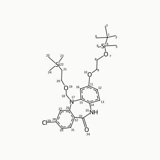 CC(C)(C)[Si](C)(C)OCCOc1ccc2c(c1)N(COCC[Si](C)(C)C)c1cc(Cl)ccc1C(=O)N2